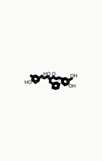 Cc1cc(/C=C/C(O)=C(\Cc2ccccc2)C(=O)/C=C/c2ccc(O)c(CO)c2)ccc1O